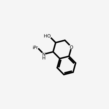 CC(C)NC1c2ccccc2OCC1O